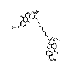 COc1ccc2c(c1)C(=O)c1ccc(OC)c(OC(=O)CCCCCCCCCCC(=O)Oc3c(OC)ccc4c3C(=O)c3ccc(OC)cc3C4=O)c1C2=O